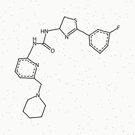 O=C(Nc1cccc(CN2CCCCC2)n1)NC1CSC(c2cccc(F)c2)=N1